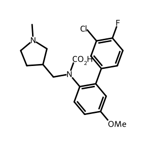 COc1ccc(N(CC2CCN(C)C2)C(=O)O)c(-c2ccc(F)c(Cl)c2)c1